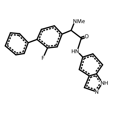 CNC(C(=O)Nc1ccc2[nH]ncc2c1)c1ccc(-c2ccccc2)c(F)c1